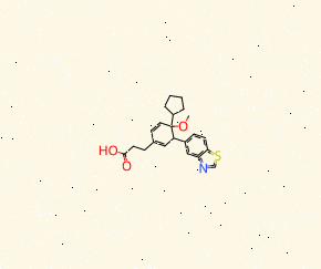 COC1(C2CCCC2)C=CC(CCC(=O)O)=CC1c1ccc2scnc2c1